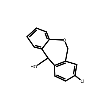 OC1c2ccc(Cl)cc2COc2ccccc21